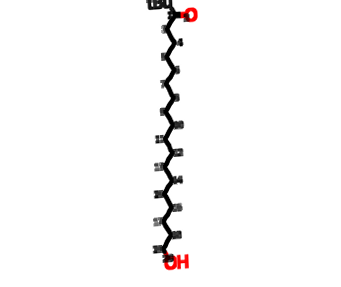 CC(C)(C)C(=O)CCCCCCCCCCCCCCCCCO